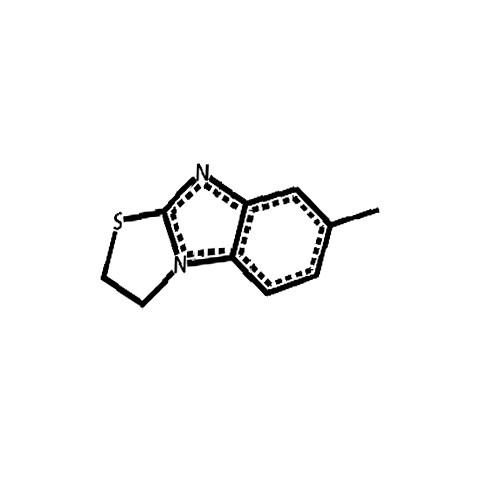 Cc1ccc2c(c1)nc1n2CCS1